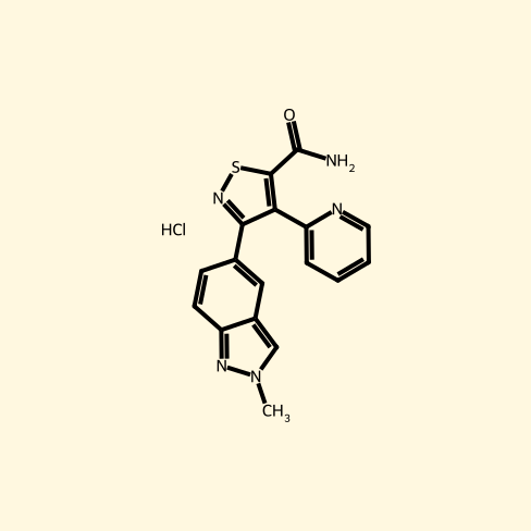 Cl.Cn1cc2cc(-c3nsc(C(N)=O)c3-c3ccccn3)ccc2n1